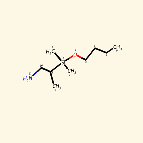 CCCCO[Si](C)(C)C(C)CN